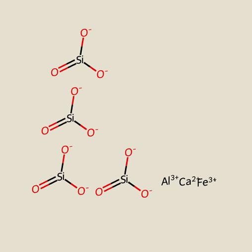 O=[Si]([O-])[O-].O=[Si]([O-])[O-].O=[Si]([O-])[O-].O=[Si]([O-])[O-].[Al+3].[Ca+2].[Fe+3]